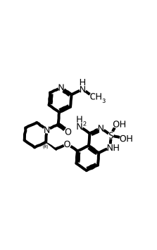 CNc1cc(C(=O)N2CCCC[C@@H]2COc2cccc3c2C(N)=NS(O)(O)N3)ccn1